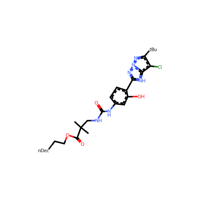 CCCCCCCCCCCCOC(=O)C(C)(C)CNC(=O)Nc1ccc(-c2nn3nc(C(C)(C)C)c(Cl)c3[nH]2)c(O)c1